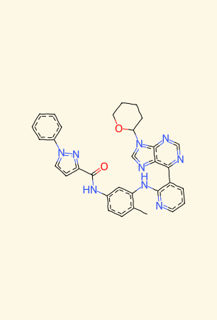 Cc1ccc(NC(=O)c2ccn(-c3ccccc3)n2)cc1Nc1ncccc1-c1ncnc2c1ncn2C1CCCCO1